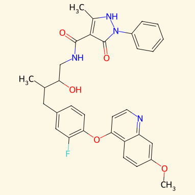 COc1ccc2c(Oc3ccc(CC(C)C(O)CNC(=O)c4c(C)[nH]n(-c5ccccc5)c4=O)cc3F)ccnc2c1